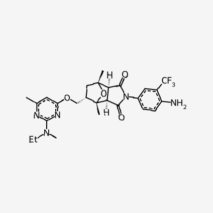 CCN(C)c1nc(C)cc(OC[C@@H]2C[C@@]3(C)O[C@]2(C)[C@@H]2C(=O)N(c4ccc(N)c(C(F)(F)F)c4)C(=O)[C@@H]23)n1